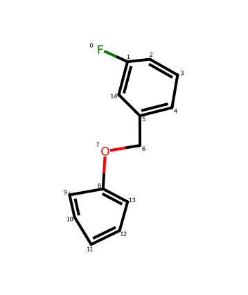 Fc1cccc(COc2[c]cccc2)c1